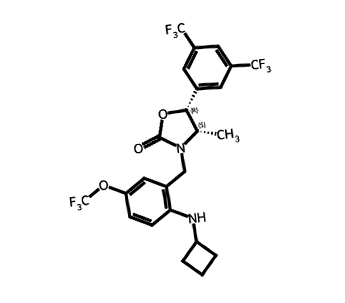 C[C@H]1[C@@H](c2cc(C(F)(F)F)cc(C(F)(F)F)c2)OC(=O)N1Cc1cc(OC(F)(F)F)ccc1NC1CCC1